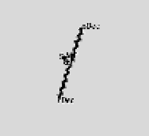 CCCCCCCCCCCCCCCCCCCCN(CCCCCCCCCCCCCCCCCCCC)OC(=S)S